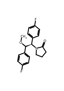 COC(c1ccc(F)cc1)[C@@H](c1ccc(F)cc1)N1CCCC1=O